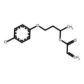 C=CC(=O)OC(C)CCOc1ccc(Cl)cc1